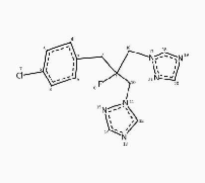 FC(Cc1ccc(Cl)cc1)(Cn1cncn1)Cn1cncn1